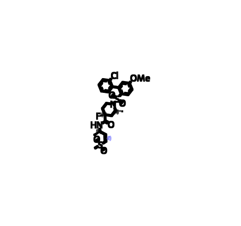 COc1ccc(S(=O)(=O)N2CC[C@](F)(C(=O)N[C@H](C)/C=C\S(C)(=O)=O)C[C@H]2C)c(-c2ccccc2Cl)c1